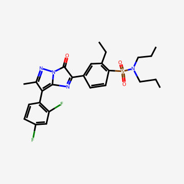 CCCN(CCC)S(=O)(=O)c1ccc(C2=Nc3c(-c4ccc(F)cc4F)c(C)nn3C2=O)cc1CC